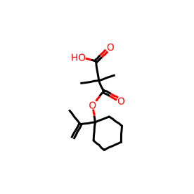 C=C(C)C1(OC(=O)C(C)(C)C(=O)O)CCCCC1